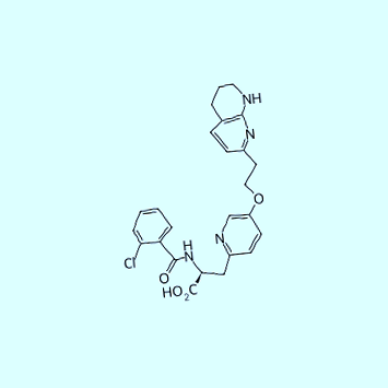 O=C(N[C@@H](Cc1ccc(OCCc2ccc3c(n2)NCCC3)cn1)C(=O)O)c1ccccc1Cl